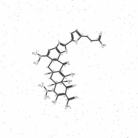 CN(C)c1cc2nc(-c3ccc(CCC(=O)O)o3)oc2c2c1C[C@H]1C[C@H]3[C@H](N(C)C)C(O)=C(C(N)=O)C(=O)[C@@]3(O)C(O)=C1C2=O